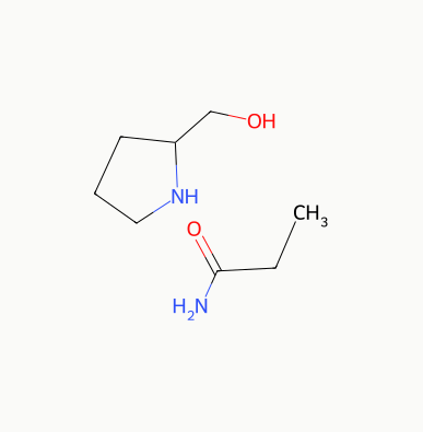 CCC(N)=O.OCC1CCCN1